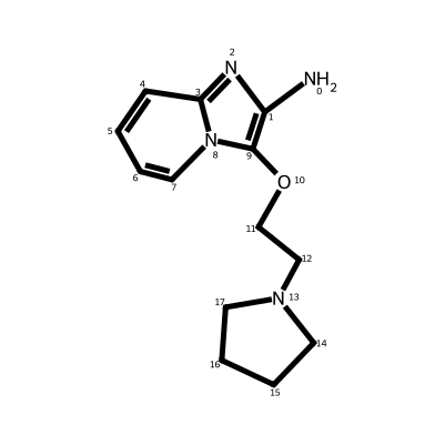 Nc1nc2ccccn2c1OCCN1CCCC1